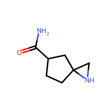 NC(=O)C1CCC2(CN2)C1